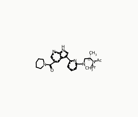 CC(=O)N(C(C)C)[C@@H](C)CN(C)c1cccc(-c2c[nH]c3ncc(C(=O)N4CCCCC4)cc23)n1